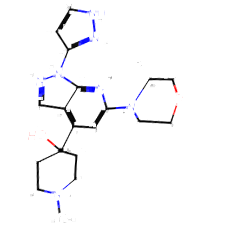 C[C@@H]1COCCN1c1cc(C2(O)CCN(C(C)(C)C)CC2)c2cnn(-c3cc[nH]n3)c2n1